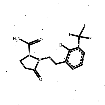 NC(=O)[C@@H]1CCC(=O)N1CCc1cccc(C(F)(F)F)c1Cl